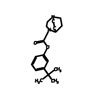 CC(C)(C)c1cccc(OC(=O)N2CCN3CCC2CC3)c1